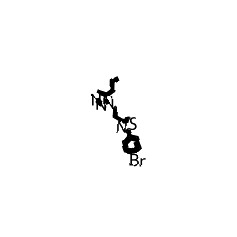 CCCc1cnnn1CCc1csc(-c2ccc(Br)cc2)n1